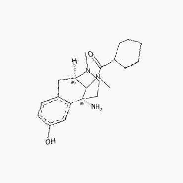 CN(C(=O)C1CCCCC1)C1[C@H]2Cc3ccc(O)cc3[C@]1(N)CCN2C